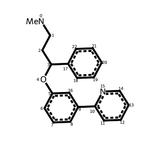 CNCCC(Oc1cccc(-c2ccccn2)c1)c1ccccc1